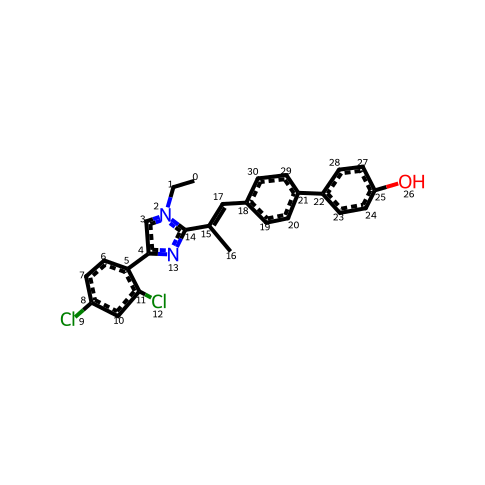 CCn1cc(-c2ccc(Cl)cc2Cl)nc1C(C)=Cc1ccc(-c2ccc(O)cc2)cc1